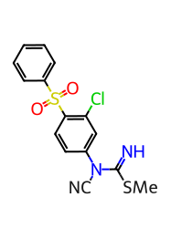 CSC(=N)N(C#N)c1ccc(S(=O)(=O)c2ccccc2)c(Cl)c1